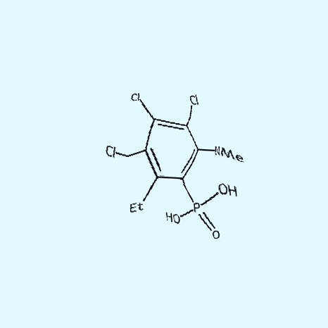 CCc1c(Cl)c(Cl)c(Cl)c(NC)c1P(=O)(O)O